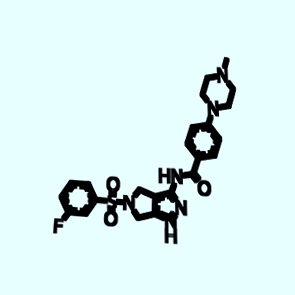 CN1CCN(c2ccc(C(=O)Nc3n[nH]c4c3CN(S(=O)(=O)c3cccc(F)c3)C4)cc2)CC1